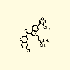 Cc1nocc1-c1ccc2c(C(=O)C3COc4ccc(Cl)cc4C3)cn(CCN(C)C)c2c1